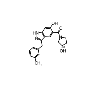 Cc1cccc(Cc2n[nH]c3cc(O)c(C(=O)N4CC[C@H](O)C4)cc23)c1